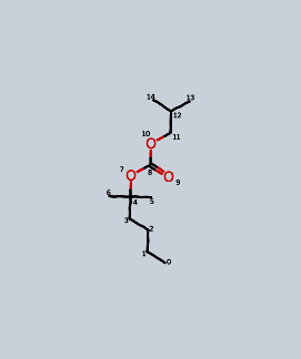 CCCCC(C)(C)OC(=O)OCC(C)C